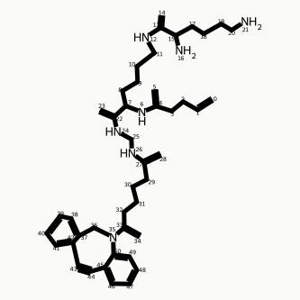 C=CCCC(=C)NC(CCCCNC(=C)C(N)CCCCN)C(=C)NCNC(=C)CCCCC(=C)N1Cc2ccccc2C#Cc2ccccc21